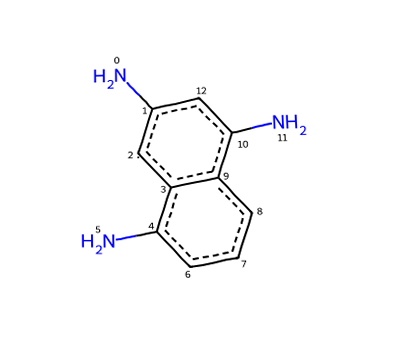 Nc1[c]c2c(N)cccc2c(N)c1